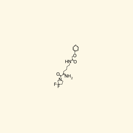 N[C@@H](CCCCNC(=O)COc1ccccc1)C(=O)N1CCC(F)(F)C1